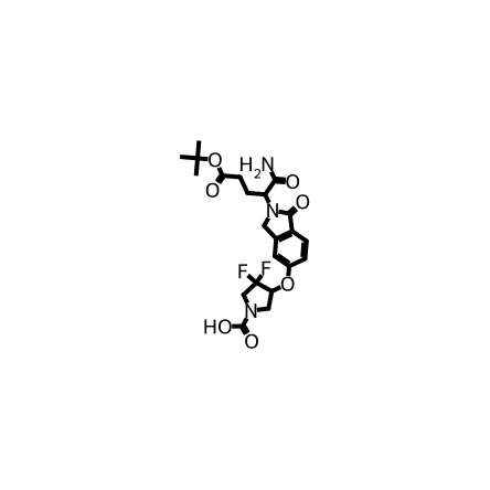 CC(C)(C)OC(=O)CCC(C(N)=O)N1Cc2cc(OC3CN(C(=O)O)CC3(F)F)ccc2C1=O